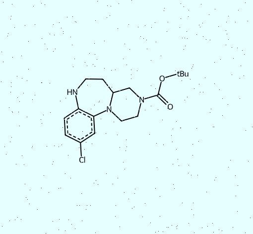 CC(C)(C)OC(=O)N1CCN2c3cc(Cl)ccc3NCCC2C1